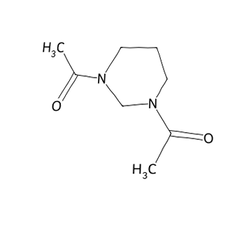 CC(=O)N1CCCN(C(C)=O)C1